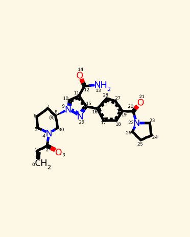 C=CC(=O)N1CCC[C@@H](n2cc(C(N)=O)c(-c3ccc(C(=O)N4CCCC4)cc3)n2)C1